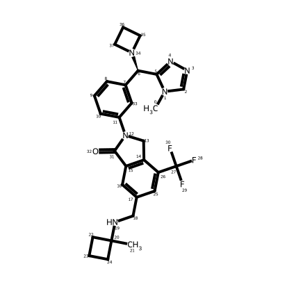 Cn1cnnc1[C@@H](c1cccc(N2Cc3c(cc(CNC4(C)CCC4)cc3C(F)(F)F)C2=O)c1)N1CCC1